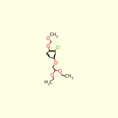 CCOC(COc1ccc(OCOC)c(Cl)c1)OCC